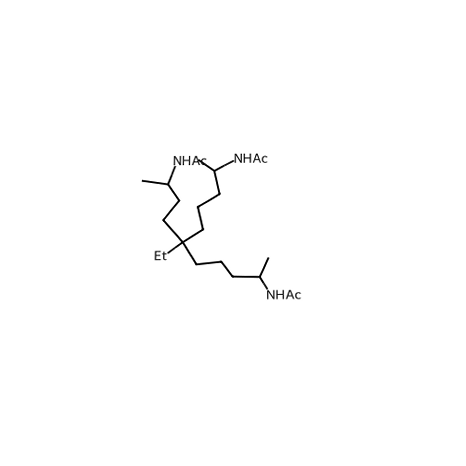 CCC(CCCC(C)NC(C)=O)(CCCC(C)NC(C)=O)CCC(C)NC(C)=O